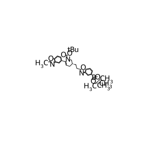 Cc1nc2cc(C3=CC[C@H](CCc4nc5cc(B6OC(C)(C)C(C)(C)O6)ccc5o4)CN3C(=O)OC(C)(C)C)ccc2o1